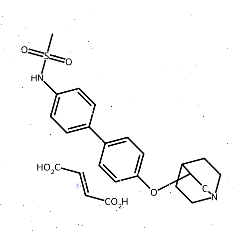 CS(=O)(=O)Nc1ccc(-c2ccc(OC3CN4CCC3CC4)cc2)cc1.O=C(O)/C=C/C(=O)O